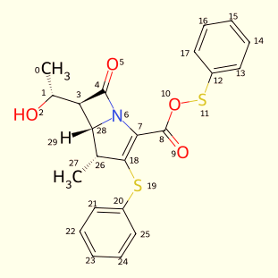 C[C@@H](O)[C@H]1C(=O)N2C(C(=O)OSc3ccccc3)=C(Sc3ccccc3)[C@H](C)[C@H]12